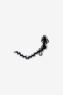 CCCCCCCC/C=C\CCCCCCCC(=O)OCc1ccc(COS(=O)(=O)C(F)(F)F)o1